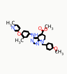 COC(=O)C1=Cc2c(Nc3ccc(Oc4ccc(C)nc4)c(C)c3)ncnc2N(Cc2ccc(OC)cc2)CC1